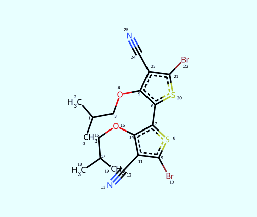 CC(C)COc1c(-c2sc(Br)c(C#N)c2OCC(C)C)sc(Br)c1C#N